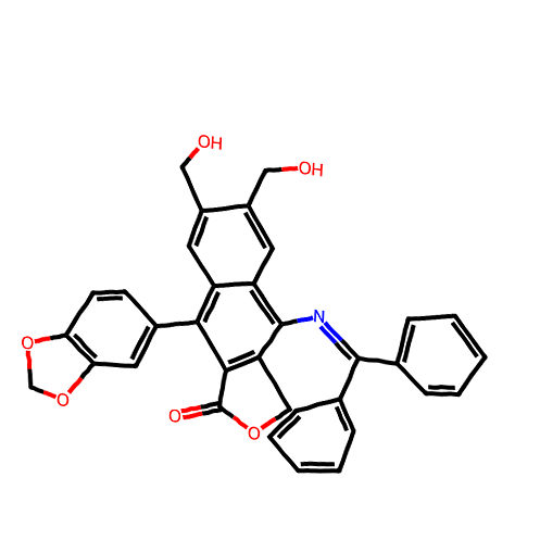 O=C1OCc2c1c(-c1ccc3c(c1)OCO3)c1cc(CO)c(CO)cc1c2N=C(c1ccccc1)c1ccccc1